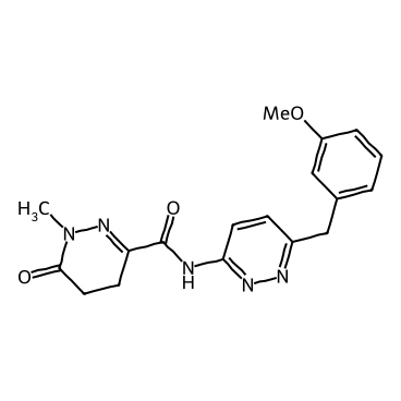 COc1cccc(Cc2ccc(NC(=O)C3=NN(C)C(=O)CC3)nn2)c1